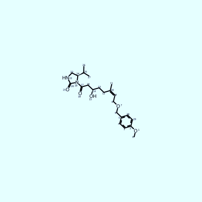 COc1ccc(COC/C=C(/C)CC[C@@H](O)CC(=O)N2C(=O)NC[C@H]2C(C)C)cc1